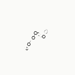 CN1CCN(c2cccc(Nc3ncc4cccc(-c5ccc(OCc6ccc(-n7cccn7)cc6)cc5)c4n3)c2)CC1